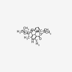 CC1=C(C(=O)OC[Si](C)(C)C)C(c2ccccc2Cl)C(C(=O)OC[Si](C)(C)C)=C(C)N1